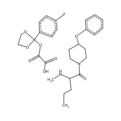 CCCC(NC)C(=O)N1CCC(Oc2ccccc2)CC1.O=C(O)C(=O)OC1(c2ccc(F)cc2)OCCO1